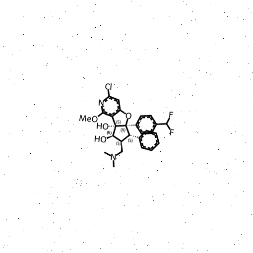 COc1nc(Cl)cc2c1[C@]1(O)[C@H](O)[C@H](CN(C)C)[C@@H](c3ccccc3)[C@]1(c1ccc(C(F)F)cc1)O2